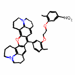 Cc1ccc(C2=c3cc4c5c(c3Oc3c2cc2c6c3CCCN6CCC2)CCC[N+]=5CCC4)cc1OCCOc1cc([N+](=O)[O-])ccc1C